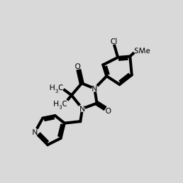 CSc1ccc(N2C(=O)N(Cc3ccncc3)C(C)(C)C2=O)cc1Cl